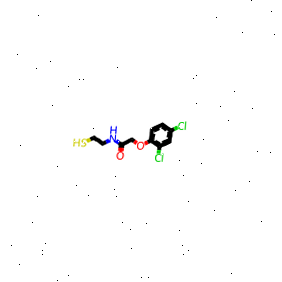 O=C(COc1ccc(Cl)cc1Cl)NCCS